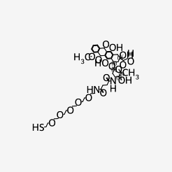 COc1cccc2c1C(=O)c1c(O)c3c(c(O)c1C2=O)C[C@@](O)(C(=O)CO)C[C@@H]3O[C@H]1CC(NC(=O)CCC(=O)NCCOCCOCCOCCOCCOCCS)[C@H](O)[C@H](C)O1